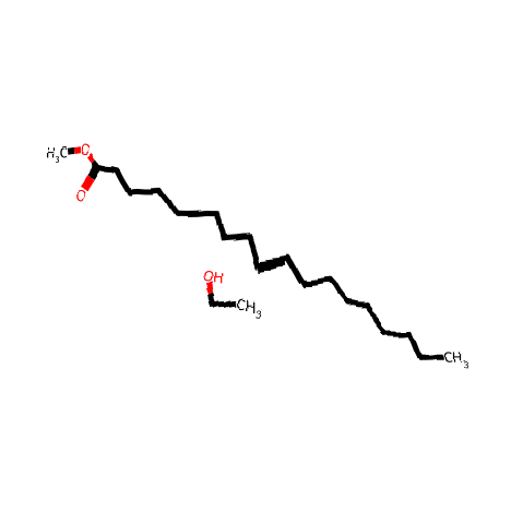 CCCCCCCCC=CCCCCCCCC(=O)OC.CCO